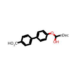 CCCCCCCCCCC(O)Oc1ccc(-c2ccc(C(=O)O)cc2)cc1